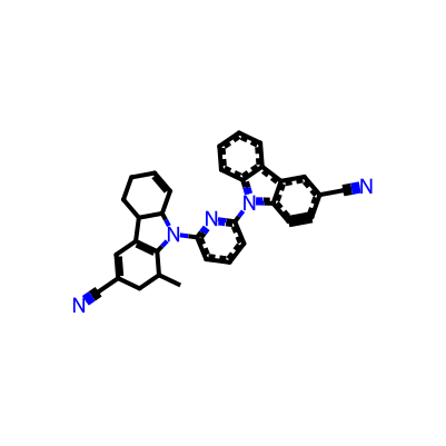 CC1CC(C#N)=CC2=C1N(c1cccc(-n3c4c#cc(C#N)cc4c4ccccc43)n1)C1C=CCCC21